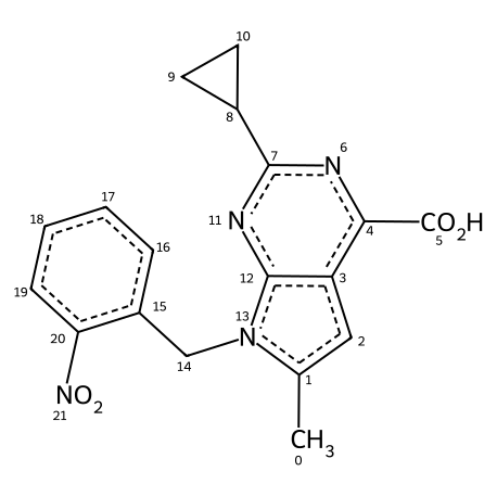 Cc1cc2c(C(=O)O)nc(C3CC3)nc2n1Cc1ccccc1[N+](=O)[O-]